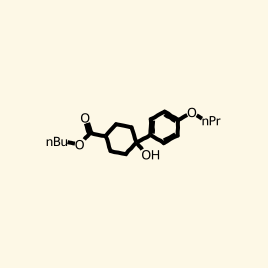 CCCCOC(=O)C1CCC(O)(c2ccc(OCCC)cc2)CC1